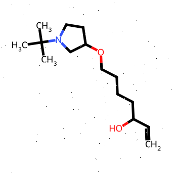 C=CC(O)CCCCOC1CCN(C(C)(C)C)C1